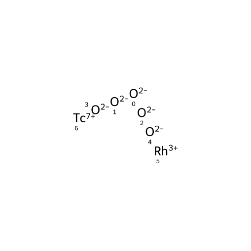 [O-2].[O-2].[O-2].[O-2].[O-2].[Rh+3].[Tc+7]